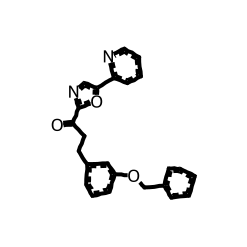 O=C(CCc1cccc(OCc2ccccc2)c1)c1ncc(-c2ccccn2)o1